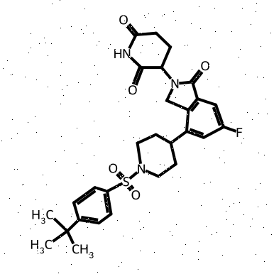 CC(C)(C)c1ccc(S(=O)(=O)N2CCC(c3cc(F)cc4c3CN(C3CCC(=O)NC3=O)C4=O)CC2)cc1